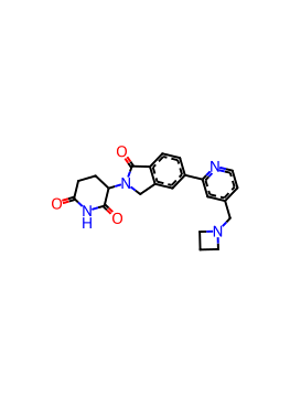 O=C1CCC(N2Cc3cc(-c4cc(CN5CCC5)ccn4)ccc3C2=O)C(=O)N1